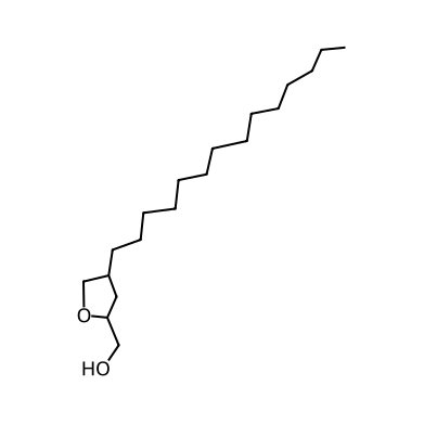 CCCCCCCCCCCCCCC1COC(CO)C1